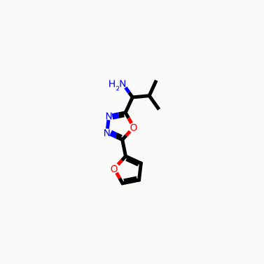 CC(C)C(N)c1nnc(-c2ccco2)o1